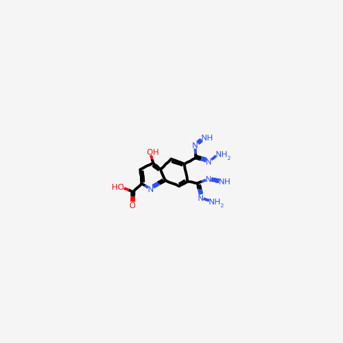 N=NC(=NN)c1cc2nc(C(=O)O)cc(O)c2cc1C(N=N)=NN